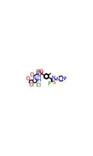 CCC(C)C(NC(=O)c1ccc(-c2nc(N3CCN(C)CC3)sc2F)c(C)c1)C(=O)N1CC(Cl)C2OCC(=O)C21